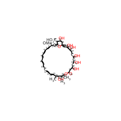 CO[C@H]1/C=C/C=C/C=C/C=C/CC/C=C/C=C/[C@H](C)[C@@H](O)[C@@H](C)[C@H](C)OC(=O)C[C@H](O)C[C@H](O)C[C@H](O)CC[C@@H](O)[C@H](O)C[C@]2(C)C[C@H](O)[C@@H](C(=O)O)[C@H](C1)O2